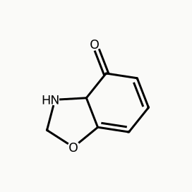 O=C1C=CC=C2OCNC12